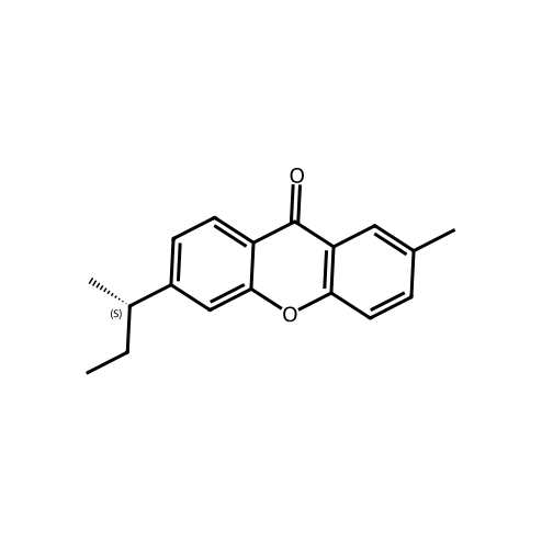 CC[C@H](C)c1ccc2c(=O)c3cc(C)ccc3oc2c1